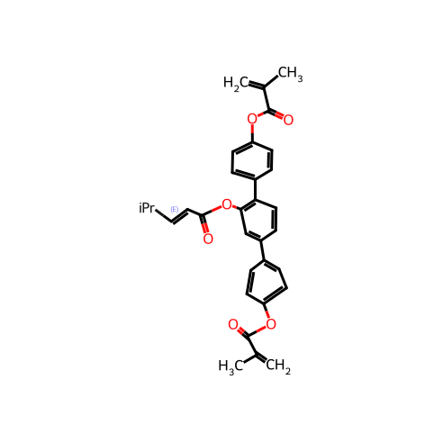 C=C(C)C(=O)Oc1ccc(-c2ccc(-c3ccc(OC(=O)C(=C)C)cc3)c(OC(=O)/C=C/C(C)C)c2)cc1